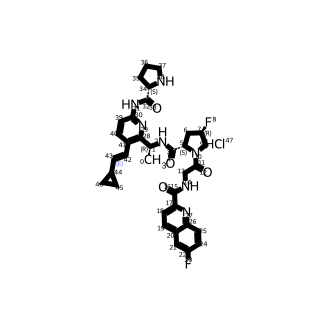 C[C@@H](NC(=O)[C@@H]1C[C@@H](F)CN1C(=O)CNC(=O)c1ccc2cc(F)ccc2n1)c1nc(NC(=O)[C@@H]2CCCN2)ccc1/C=C/C1CC1.Cl